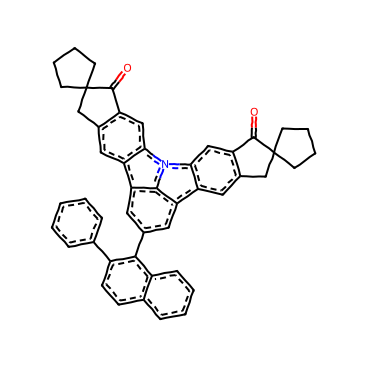 O=C1c2cc3c(cc2CC12CCCC2)c1cc(-c2c(-c4ccccc4)ccc4ccccc24)cc2c4cc5c(cc4n3c12)C(=O)C1(CCCC1)C5